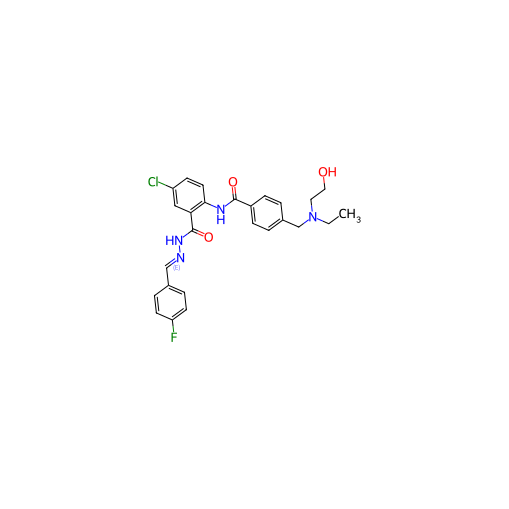 CCN(CCO)Cc1ccc(C(=O)Nc2ccc(Cl)cc2C(=O)N/N=C/c2ccc(F)cc2)cc1